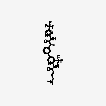 C[C@H](C(=O)Nc1ncc(C(F)(F)F)s1)c1cccc(-c2cnc(NC(=O)/C=C/CN(C)C)c(C(F)(F)F)c2)c1